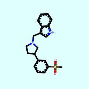 CS(=O)(=O)c1cccc(C2CCN(Cc3c[nH]c4ccccc34)C2)c1